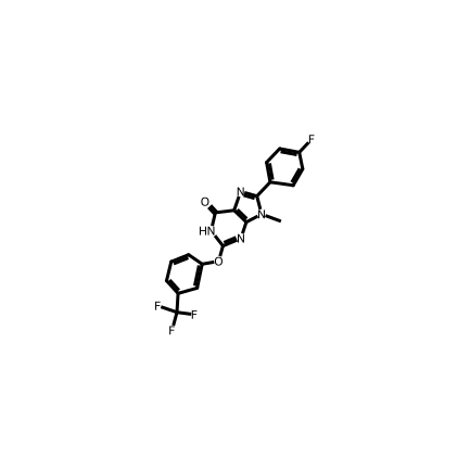 Cn1c(-c2ccc(F)cc2)nc2c(=O)[nH]c(Oc3cccc(C(F)(F)F)c3)nc21